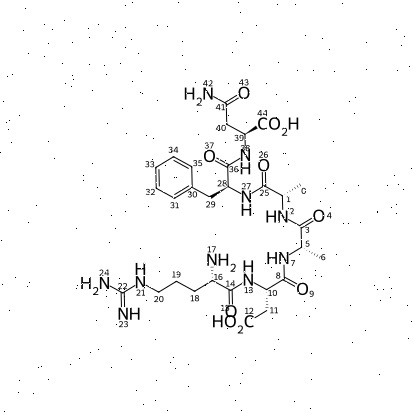 C[C@H](NC(=O)[C@H](C)NC(=O)[C@H](CC(=O)O)NC(=O)[C@@H](N)CCCNC(=N)N)C(=O)N[C@@H](Cc1ccccc1)C(=O)N[C@@H](CC(N)=O)C(=O)O